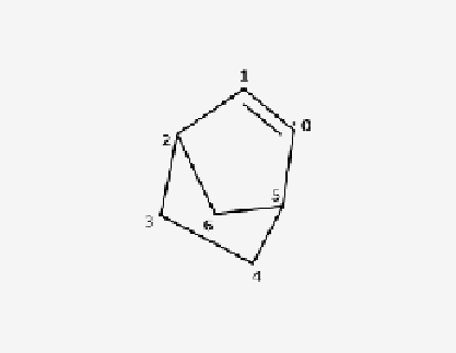 [C]1=CC2CCC1C2